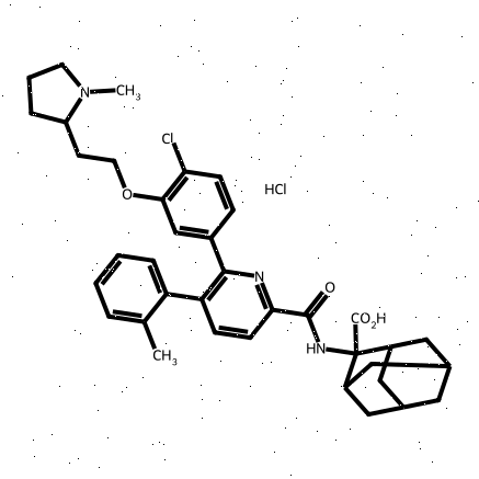 Cc1ccccc1-c1ccc(C(=O)NC2(C(=O)O)C3CC4CC(C3)CC2C4)nc1-c1ccc(Cl)c(OCCC2CCCN2C)c1.Cl